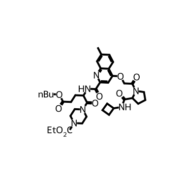 CCCCOC(=O)CCC(NC(=O)c1cc(OCC(=O)N2CCCC2C(=O)NC2CCC2)c2ccc(C)cc2n1)C(=O)N1CCN(C(=O)OCC)CC1